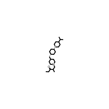 CCC(=O)C(C)CN1CCC(C[C@H]2CC[C@@H](N3CCC(C(C)C)CC3)CC2)CC1